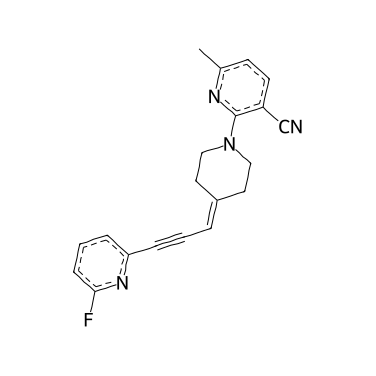 Cc1ccc(C#N)c(N2CCC(=CC#Cc3cccc(F)n3)CC2)n1